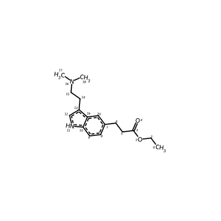 CCOC(=O)CCc1ccc2[nH]cc(CCN(C)C)c2c1